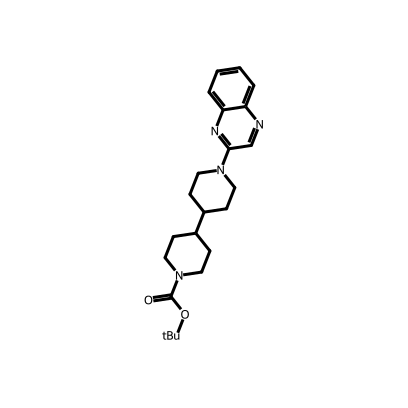 CC(C)(C)OC(=O)N1CCC(C2CCN(c3cnc4ccccc4n3)CC2)CC1